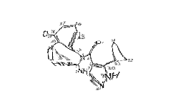 N=C(N)N(C(=O)c1cn[nH]c1C1CC1)c1cccc(Cl)c1Cl